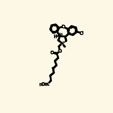 CCCCCCCCCCCCCCCCCC(=O)OC[N+]1(C)CC2c3cc(Cl)ccc3Oc3ccccc3[C@H]2C1